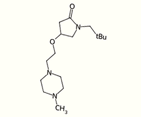 CN1CCN(CCOC2CC(=O)N(CC(C)(C)C)C2)CC1